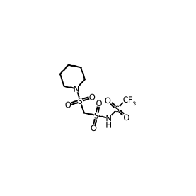 O=S(=O)(CS(=O)(=O)N1CCCCC1)NS(=O)(=O)C(F)(F)F